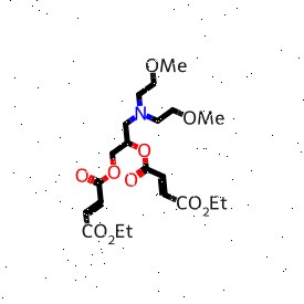 CCOC(=O)/C=C/C(=O)OCC(CN(CCOC)CCOC)OC(=O)/C=C/C(=O)OCC